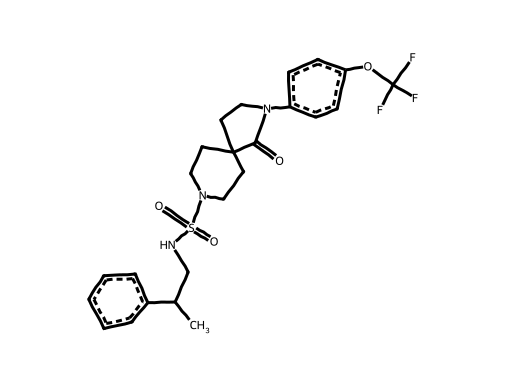 CC(CNS(=O)(=O)N1CCC2(CCN(c3ccc(OC(F)(F)F)cc3)C2=O)CC1)c1ccccc1